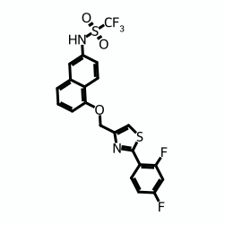 O=S(=O)(Nc1ccc2c(OCc3csc(-c4ccc(F)cc4F)n3)cccc2c1)C(F)(F)F